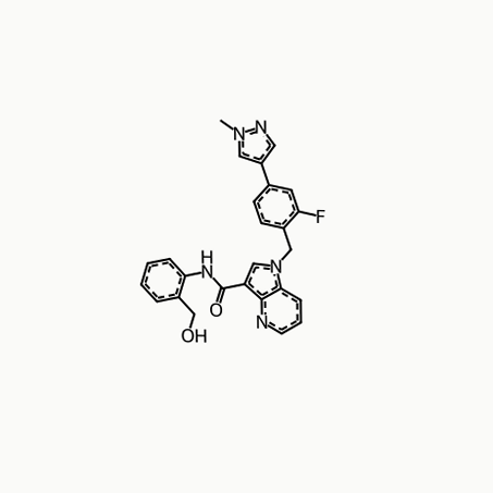 Cn1cc(-c2ccc(Cn3cc(C(=O)Nc4ccccc4CO)c4ncccc43)c(F)c2)cn1